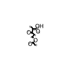 CC(=O)OCCC(=O)C(C)C(=O)O